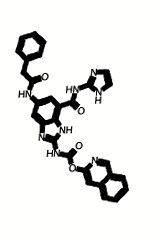 O=C(Cc1ccccc1)Nc1cc(C(=O)Nc2ncc[nH]2)c2[nH]c(NC(=O)Oc3cc4ccccc4cn3)nc2c1